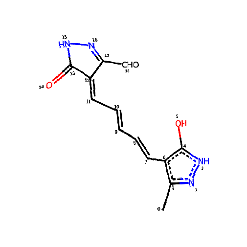 Cc1n[nH]c(O)c1C=CC=CC=C1C(=O)NN=C1C=O